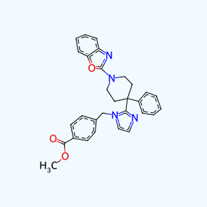 COC(=O)c1ccc(Cn2ccnc2C2(c3ccccc3)CCN(c3nc4ccccc4o3)CC2)cc1